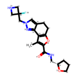 Cc1c(C(=O)NC[C@@H]2CCCO2)oc2c1-c1nn(CC3(F)CNC3)cc1CC2